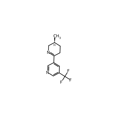 C[C@H]1CCC(c2cncc(C(F)(F)F)c2)=NC1